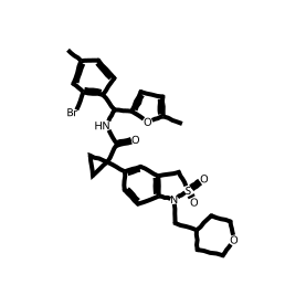 Cc1ccc(C(NC(=O)C2(c3ccc4c(c3)CS(=O)(=O)N4CC3CCOCC3)CC2)c2ccc(C)o2)c(Br)c1